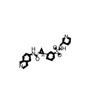 O=C(Nc1ccc2cnccc2c1)[C@@H]1C[C@H]1c1cccc(S(=O)(=O)NCc2cccnc2)c1